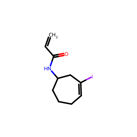 C=CC(=O)NC1CCCC=C(I)C1